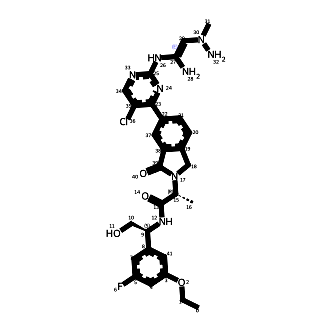 CCOc1cc(F)cc([C@@H](CO)NC(=O)[C@@H](C)N2Cc3ccc(-c4nc(N/C(N)=C/N(C)N)ncc4Cl)cc3C2=O)c1